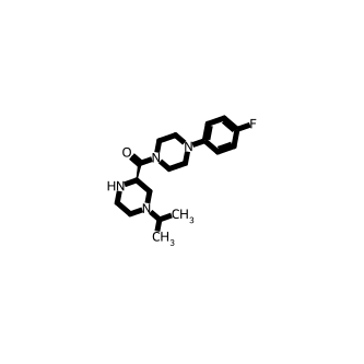 CC(C)N1CCN[C@@H](C(=O)N2CCN(c3ccc(F)cc3)CC2)C1